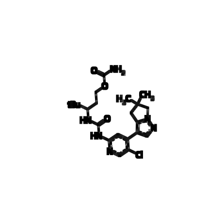 CC1(C)Cc2c(-c3cc(NC(=O)NC(CCOC(N)=O)C(C)(C)C)ncc3Cl)cnn2C1